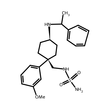 COc1cccc([C@]2(CNS(N)(=O)=O)CC[C@@H](NC(C)c3ccccc3)CC2)c1